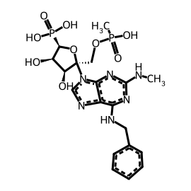 CNc1nc(NCc2ccccc2)c2ncn([C@]3(COP(C)(=O)O)O[C@H](P(=O)(O)O)[C@H](O)[C@@H]3O)c2n1